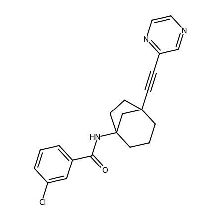 O=C(NC12CCCC(C#Cc3cnccn3)(CC1)C2)c1cccc(Cl)c1